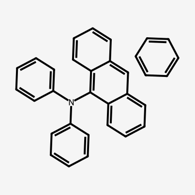 c1ccc(N(c2ccccc2)c2c3ccccc3cc3ccccc23)cc1.c1ccccc1